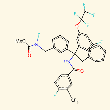 COC(=O)N(F)Cc1cccc(C(Cc2ccccc2)(NC(=O)c2ccc(F)c(C(F)(F)F)c2)c2cc(F)cc(OC(F)(F)C(F)F)c2)c1